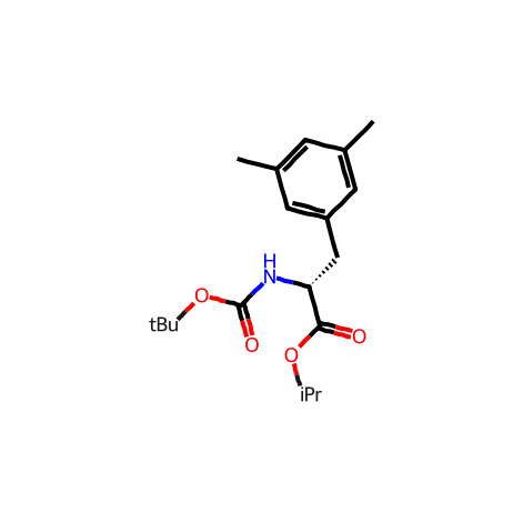 Cc1cc(C)cc(C[C@@H](NC(=O)OC(C)(C)C)C(=O)OC(C)C)c1